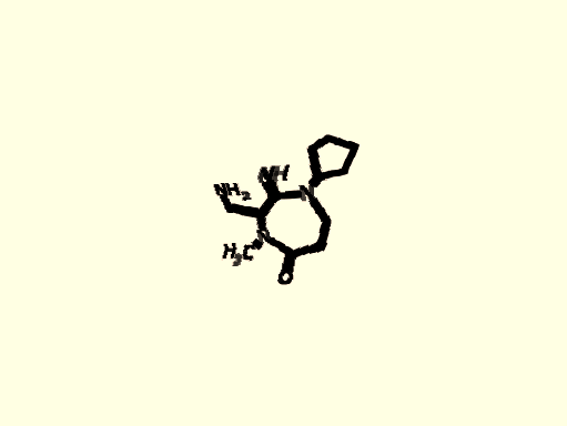 CN1C(=O)CCN(C2CCCC2)C(=N)/C1=C\N